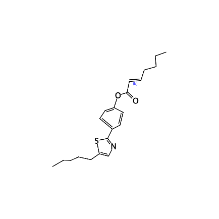 CCCC/C=C/C(=O)Oc1ccc(-c2ncc(CCCCC)s2)cc1